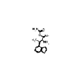 C[C@H](c1cccc2c1CCC2)[C@H](N)C(=N)OC(N)=O